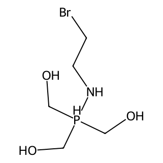 OC[PH](CO)(CO)NCCBr